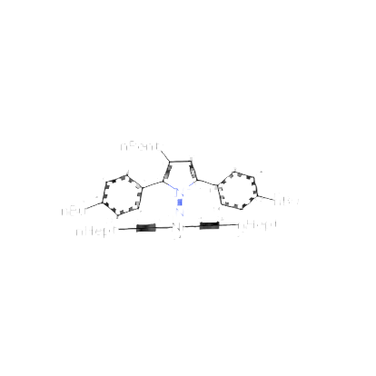 CCCCCC1=C(c2ccc(CCCC)cc2)[N+](=[N-])C(c2ccc(CCCC)cc2)=C1.CCCCCCCC#[C][Ni][C]#CCCCCCCC